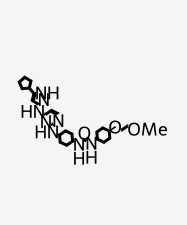 COCCO[C@H]1CC[C@H](NC(=O)N[C@H]2CC[C@H](Nc3nccc(Nc4cc(C5CCCC5)[nH]n4)n3)CC2)CC1